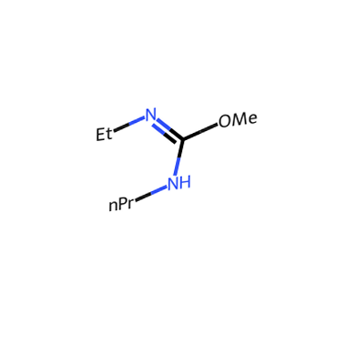 CCCN/C(=N\CC)OC